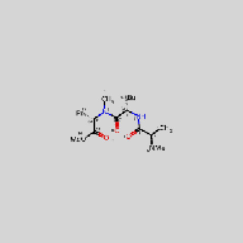 CNC(C)C(=O)N[C@H](C(=O)N(C)[C@H](C(=O)OC)C(C)C)C(C)(C)C